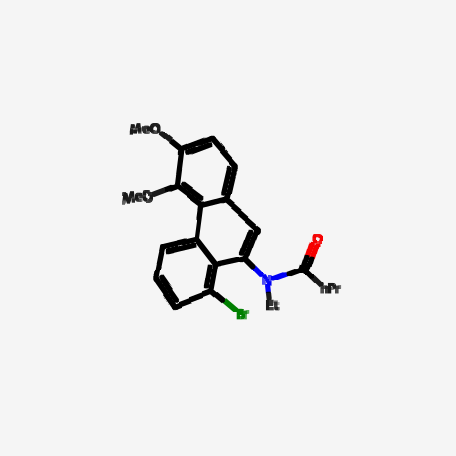 CCCC(=O)N(CC)c1cc2ccc(OC)c(OC)c2c2cccc(Br)c12